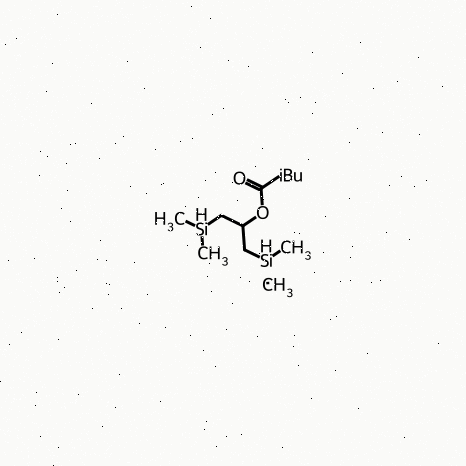 CCC(C)C(=O)OC(C[SiH](C)C)C[SiH](C)C